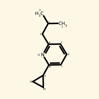 CC(C)Cc1cccc(C2CC2)n1